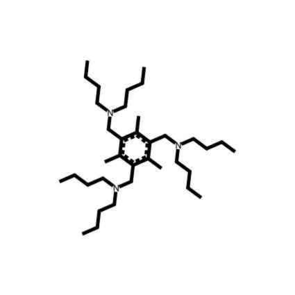 CCCCN(CCCC)Cc1c(C)c(CN(CCCC)CCCC)c(C)c(CN(CCCC)CCCC)c1C